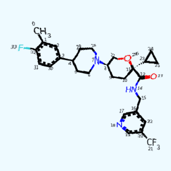 Cc1cc(C2CCN([C@@H]3CC[C@@](C(=O)NCc4cncc(C(F)(F)F)c4)(C4CC4)OC3)CC2)ccc1F